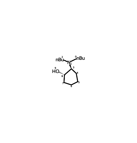 CCCCN(CCCC)[C@H]1CCCC[C@@H]1O